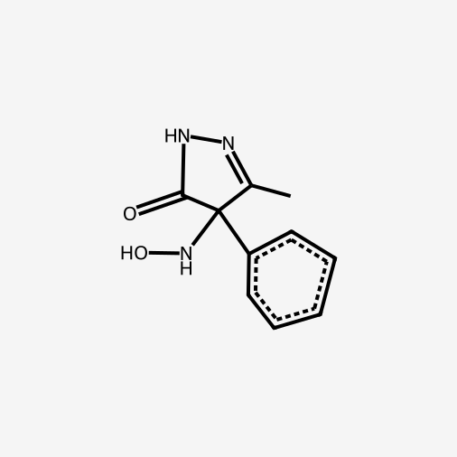 CC1=NNC(=O)C1(NO)c1ccccc1